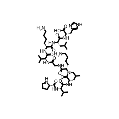 CC(C)C[C@H](NC(=O)[C@H](CCCCN)NC(=O)[C@@H](NC(=O)CNC(=O)[C@H](CCCCN)NC(=O)[C@H](CC(C)C)NC(=O)[C@@H](NC(=O)[C@@H]1CCCN1)C(C)C)C(C)C)C(=O)N[C@@H](Cc1c[nH]cn1)C(=O)O